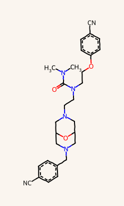 CN(C)C(=O)N(CCOc1ccc(C#N)cc1)CCN1CC2CN(Cc3ccc(C#N)cc3)CC(C1)O2